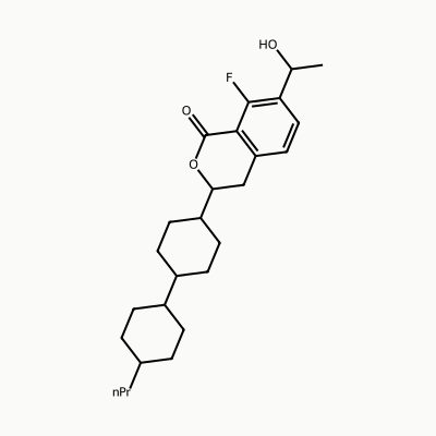 CCCC1CCC(C2CCC(C3Cc4ccc(C(C)O)c(F)c4C(=O)O3)CC2)CC1